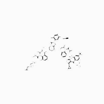 C#CCOc1cc(-n2nc3n(c2=O)CCCC3)c(Cl)cc1Cl.CC1COc2ccccc2N1C(=O)C(Cl)Cl.CCc1cccc(C)c1N(C(=O)CCl)C(C)COC.CS(=O)(=O)c1cc(C(F)(F)F)ccc1C(=O)c1cnoc1C1CC1.C[S+](C)C.O=C(O)CNCP(=O)([O-])O